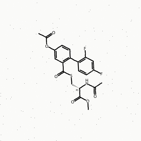 COC(=O)[C@H](CSC(=O)c1cc(OC(C)=O)ccc1-c1ccc(F)cc1F)NC(C)=O